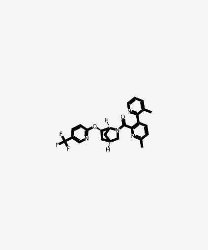 Cc1ccc(-c2ncccc2C)c(C(=O)N2C[C@H]3C[C@@H](Oc4ccc(C(F)(F)F)cn4)[C@@H]2C3)n1